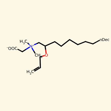 C=CCOC(CCCCCCCCCCCCCCCC)C[N+](C)(C)CC(=O)[O-]